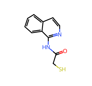 O=C(CS)Nc1nccc2ccccc12